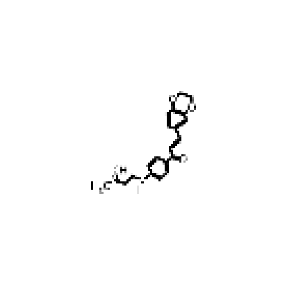 CN(C)CCNc1ccc(C(=O)C=Cc2ccc3c(c2)OCCO3)cc1